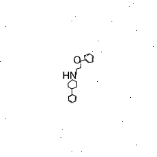 O=C(CCCNC1CCC(c2ccccc2)CC1)c1ccccc1